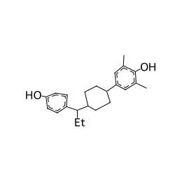 CCC(c1ccc(O)cc1)C1CCC(c2cc(C)c(O)c(C)c2)CC1